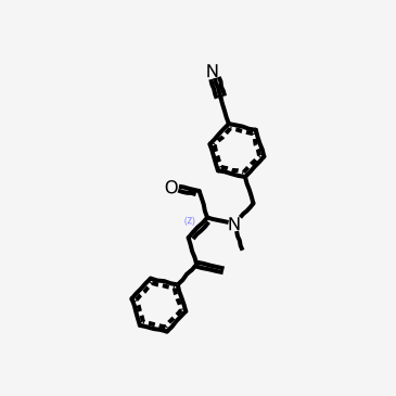 C=C(/C=C(/C=O)N(C)Cc1ccc(C#N)cc1)c1ccccc1